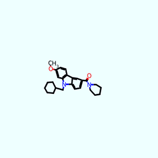 COc1ccc2c3cc(C(=O)N4CCCCC4)ccc3n(CC3CCCCC3)c2c1